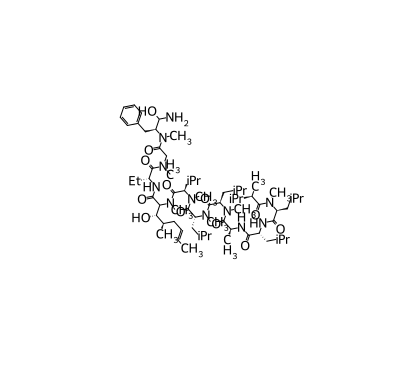 C/C=C/C[C@@H](C)[C@H](O)C(C(=O)N[C@H](CC)C(=O)N(C)CC(=O)N(C)[C@@H](Cc1ccccc1)C(N)O)N(C)C(=O)[C@@H](C(C)C)N(C)C(=O)[C@@H](CC(C)C)N(C)C(=O)[C@@H](CC(C)C)N(C)C(=O)[C@H](C)NC(=O)[C@@H](CC(C)C)NC(=O)[C@H](CC(C)C)N(C)C(=O)[C@H](C)C(C)C